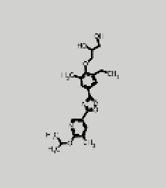 CCc1cc(-c2noc(-c3cnc(OC(C)C)c(C)c3)n2)cc(C)c1OCC(O)CO